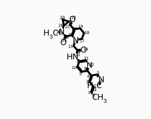 C/C=C/C=C(\C=N/C)c1ccc(NC(=O)CN2CCCC(C=O)=C2C(=O)N(C)C2CC2)cn1